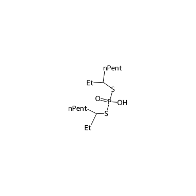 CCCCCC(CC)SP(=O)(O)SC(CC)CCCCC